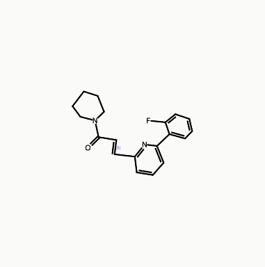 O=C(/C=C/c1cccc(-c2ccccc2F)n1)N1CCCCC1